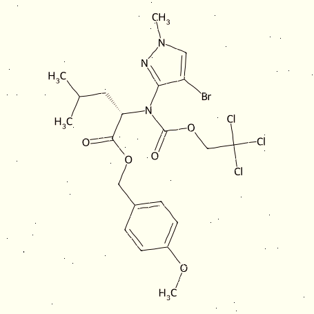 COc1ccc(COC(=O)[C@H](CC(C)C)N(C(=O)OCC(Cl)(Cl)Cl)c2nn(C)cc2Br)cc1